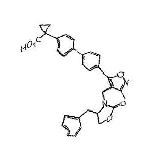 Cc1noc(-c2ccc(-c3ccc(C4(C(=O)O)CC4)cc3)cc2)c1CN1C(=O)OCC1Cc1ccccc1